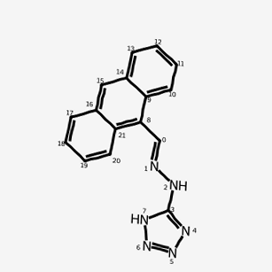 C(=N\Nc1nnn[nH]1)/c1c2ccccc2cc2ccccc12